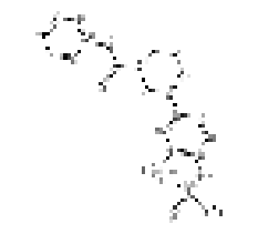 Cc1nc(C2=CCCN(C(=O)Oc3ccccc3)C2)ccc1N[SH](C)(C)=O